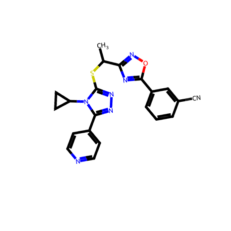 CC(Sc1nnc(-c2ccncc2)n1C1CC1)c1noc(-c2cccc(C#N)c2)n1